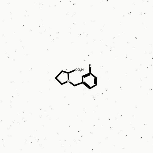 O=C(O)C1CCCN1Cc1cc[c]c(F)c1